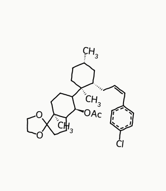 CC(=O)O[C@H]1C2CCC3(OCCO3)[C@@]2(C)CCC1[C@@]1(C)CC[C@H](C)C[C@@H]1C/C=C\c1ccc(Cl)cc1